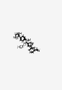 Cl.N#Cc1cncc(-n2cc(C(=O)Nc3ccc([C@H]4CNCCO4)cc3)cn2)n1